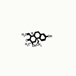 C=CC1C(=O)[C@](C)(O)C[C@@]2(CC)c3ccc(O)cc3CC[C@H]12